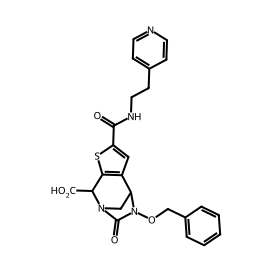 O=C(NCCc1ccncc1)c1cc2c(s1)C(C(=O)O)N1CC2N(OCc2ccccc2)C1=O